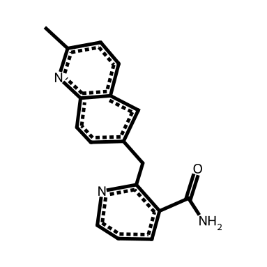 Cc1ccc2cc(Cc3ncccc3C(N)=O)ccc2n1